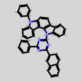 c1ccc(-c2nc(-c3ccc4ccccc4c3)nc(-n3c4ccccc4c4ccc5c(c6ccccc6n5-c5ccccc5)c43)n2)cc1